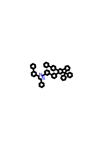 c1ccc(-c2ccc(-c3cc4c(cc3-c3cccc(-c5cccc(-c6nc(-c7ccccc7)cc(-c7cccc(-c8ccccc8)c7)n6)c5)c3)C(c3ccccc3)(c3ccccc3)c3ccccc3-4)cc2)cc1